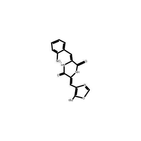 CC(C)(C)c1ocnc1/C=c1\[nH]c(=O)/c(=C/c2ccccc2[N+](=O)[O-])[nH]c1=O